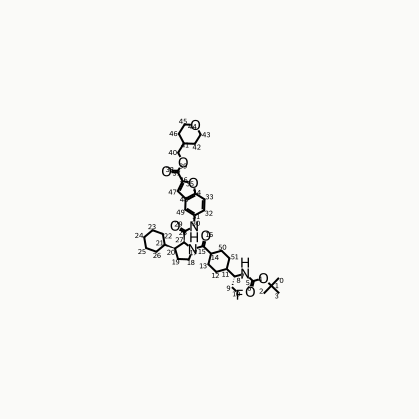 CC(C)(C)OC(=O)N[C@H](CF)C1CCC(C(=O)N2CC[C@@H](C3CCCCC3)[C@H]2C(=O)Nc2ccc3oc(C(=O)OCC4CCOCC4)cc3c2)CC1